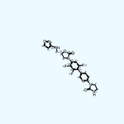 O=C1NCCN1c1ccc(-c2c(F)cc(N3C[C@H](CNc4ccon4)OC3=O)c(F)c2F)cn1